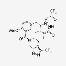 COc1ccc(Cc2c(C)c(C)c(=O)[nH][n+]2OC(=O)C(F)(F)F)cc1C(=O)N1CCn2c(nnc2C(F)(F)F)C1